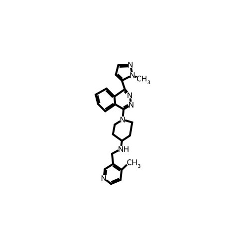 Cc1ccncc1CNC1CCN(c2nnc(-c3ccnn3C)c3ccccc23)CC1